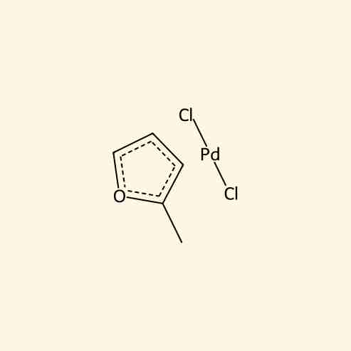 Cc1ccco1.[Cl][Pd][Cl]